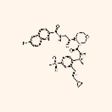 C[C@H](NC(=O)[C@@H]1COCCN1C(=O)CNC(=O)c1ccc2cc(F)ccc2n1)c1ccc(S(C)(=O)=O)cc1/C=C/C1CC1